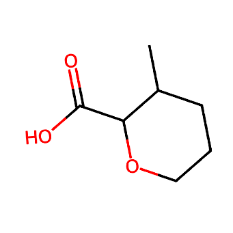 CC1CCCOC1C(=O)O